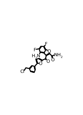 NC(=O)c1oc2c(F)cc(F)c(N)c2c1C(=O)c1ccc(-c2cccc(CCl)c2)o1